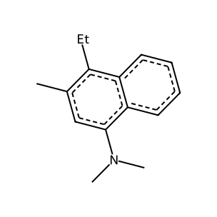 CCc1c(C)cc(N(C)C)c2ccccc12